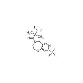 CC(C)(C(=O)N1CCOc2cc(C(F)(F)F)ncc2C1)C(F)F